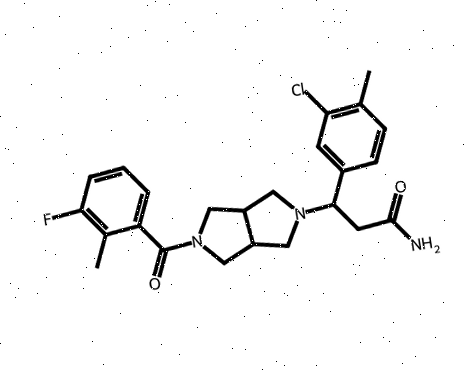 Cc1ccc(C(CC(N)=O)N2CC3CN(C(=O)c4cccc(F)c4C)CC3C2)cc1Cl